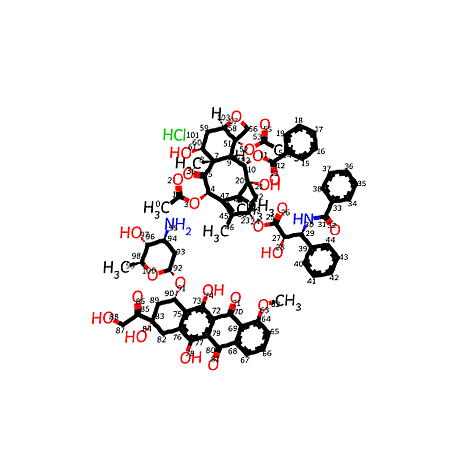 CC(=O)O[C@H]1C(=O)[C@@]2(C)[C@H]([C@H](OC(=O)c3ccccc3)[C@]3(O)C[C@H](OC(=O)[C@H](O)[C@@H](NC(=O)c4ccccc4)c4ccccc4)C(C)=C1C3(C)C)[C@]1(OC(C)=O)CO[C@@H]1C[C@@H]2O.COc1cccc2c1C(=O)c1c(O)c3c(c(O)c1C2=O)C[C@@](O)(C(=O)CO)C[C@@H]3O[C@H]1C[C@H](N)[C@@H](O)[C@H](C)O1.Cl